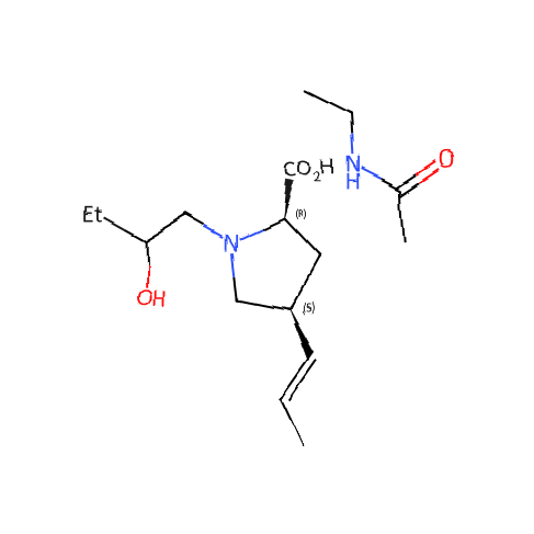 CC=C[C@@H]1C[C@H](C(=O)O)N(CC(O)CC)C1.CCNC(C)=O